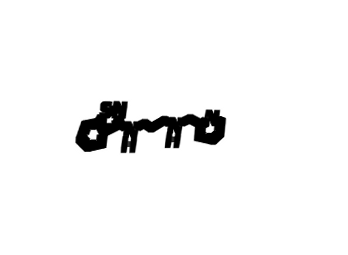 c1ccc(CNCCCNc2nsc3ccccc23)nc1